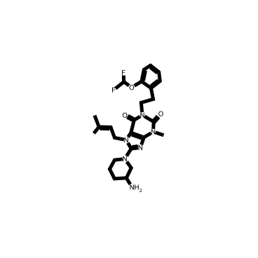 CC(C)=CCn1c(N2CCCC(N)C2)nc2c1c(=O)n(CCc1ccccc1OC(F)F)c(=O)n2C